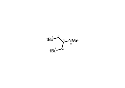 CNC(CC(C)(C)C)CC(C)(C)C